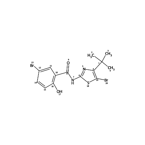 CC(C)(C)c1nc(NC(=O)c2cc(Br)ccc2O)sc1Br